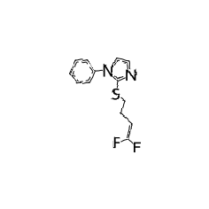 FC(F)=CCCSc1nccn1-c1ccccc1